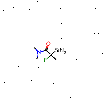 CN(C)C(=O)C(C)(F)[SiH3]